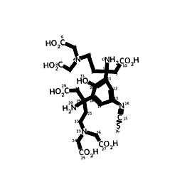 NC(CCN(CC(=O)O)CC(=O)O)(CC(=O)O)c1cc(N=C=S)cc(C(N)(CCN(CC(=O)O)CC(=O)O)CC(=O)O)c1O